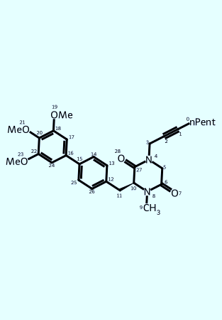 CCCCCC#CCN1CC(=O)N(C)[C@@H](Cc2ccc(-c3cc(OC)c(OC)c(OC)c3)cc2)C1=O